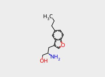 CCCc1ccc2occ(C[C@@H](N)CO)c2c1